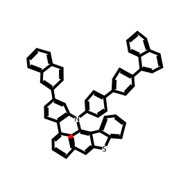 c1ccc(-c2ccc(-c3ccc4ccccc4c3)cc2N(c2ccc(-c3ccc(-c4cccc5ccccc45)cc3)cc2)c2cccc3sc4ccccc4c23)cc1